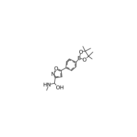 CNC(O)c1cc(-c2ccc(B3OC(C)(C)C(C)(C)O3)cc2)on1